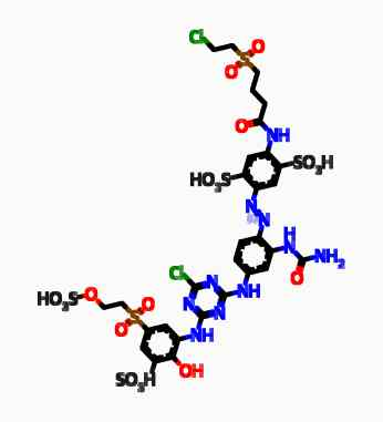 NC(=O)Nc1cc(Nc2nc(Cl)nc(Nc3cc(S(=O)(=O)CCOS(=O)(=O)O)cc(S(=O)(=O)O)c3O)n2)ccc1/N=N/c1cc(S(=O)(=O)O)c(NC(=O)CCCS(=O)(=O)CCCl)cc1S(=O)(=O)O